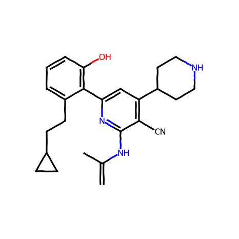 C=C(C)Nc1nc(-c2c(O)cccc2CCC2CC2)cc(C2CCNCC2)c1C#N